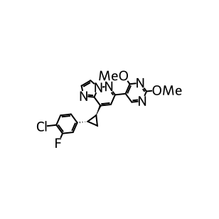 COc1ncc(-c2cc([C@H]3C[C@@H]3c3ccc(Cl)c(F)c3)c3nccn3n2)c(OC)n1